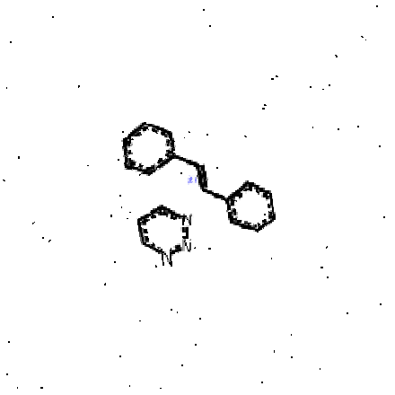 C(=C\c1ccccc1)/c1ccccc1.c1cnnnc1